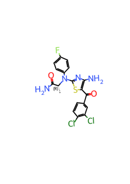 C[C@H](C(N)=O)N(c1ccc(F)cc1)c1nc(N)c(C(=O)c2ccc(Cl)c(Cl)c2)s1